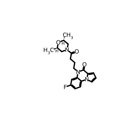 C[C@@H]1CN(C(=O)CCCn2c(=O)c3cccn3c3ccc(F)cc32)C[C@@H](C)O1